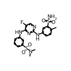 Cc1ccc(Nc2ncc(F)c(Nc3cccc(S(=O)(=O)N(C)C)c3)n2)cc1S(N)(=O)=O